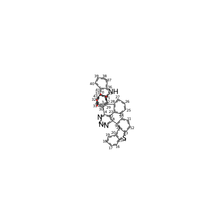 c1ccc(-c2nnnc(-c3cccc4sc5ccccc5c34)c2-c2ccccc2-c2cccc3c2[nH]c2ccccc23)cc1